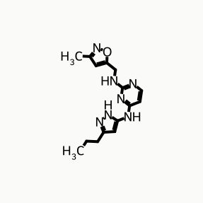 CCCc1cc(Nc2ccnc(NCc3cc(C)no3)n2)[nH]n1